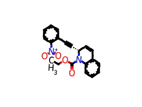 CCOC(=O)N1c2ccccc2C=C[C@H]1C#Cc1ccccc1[N+](=O)[O-]